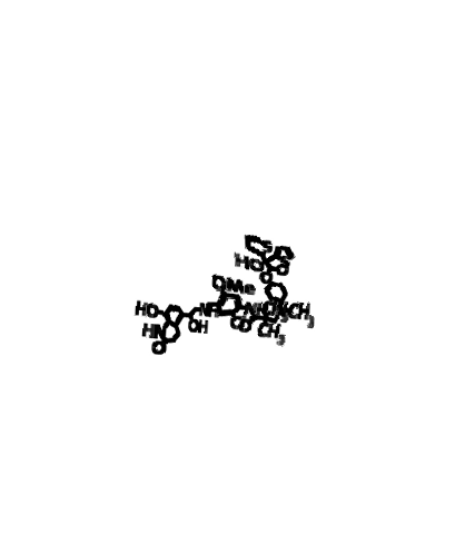 COc1cc(NC(=O)C(C)(C)CN(C)C2CCC(OC(=O)C(O)(c3cccs3)c3cccs3)CC2)c(Cl)cc1CNC[C@@H](O)c1ccc(O)c2[nH]c(=O)ccc12